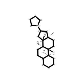 C[C@]12CC[C@H]3[C@@H](CCC4CCCC[C@@]43C)[C@@H]1CC(N1CCCC1)C2